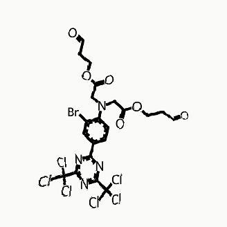 O=CCCOC(=O)CN(CC(=O)OCCC=O)c1ccc(-c2nc(C(Cl)(Cl)Cl)nc(C(Cl)(Cl)Cl)n2)cc1Br